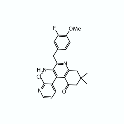 COc1ccc(Cc2nc3c(c(-c4cccnc4Cl)c2N)C(=O)CC(C)(C)C3)cc1F